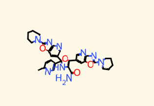 Cc1ccc(C2(c3cnc4nc(N5CCCCC5)oc4c3)NC(C(N)=O)=C(c3cnc4nc(N5CCCCC5)oc4c3)O2)cn1